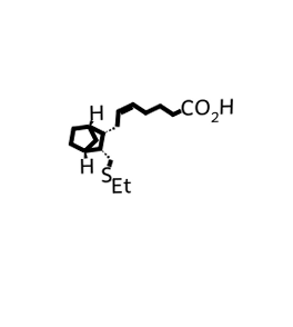 CCSC[C@@H]1[C@@H]2CC[C@@H](C2)[C@@H]1C/C=C\CCCC(=O)O